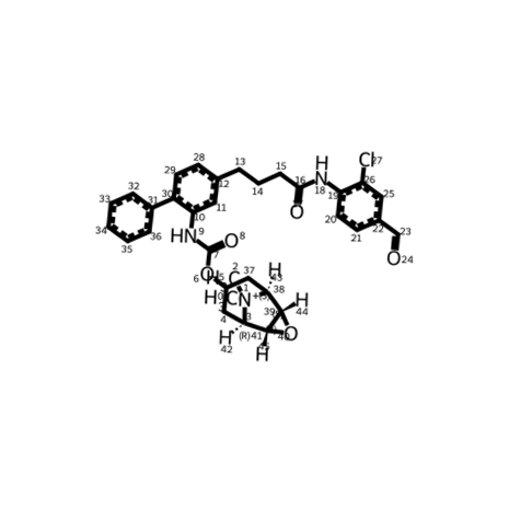 C[N+]1(C)[C@@H]2CC(OC(=O)Nc3cc(CCCC(=O)Nc4ccc(C=O)cc4Cl)ccc3-c3ccccc3)C[C@H]1[C@@H]1O[C@@H]12